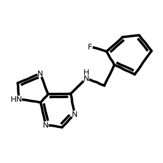 Fc1ccccc1CNc1ncnc2[nH]cnc12